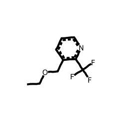 CCOCc1cccnc1C(F)(F)F